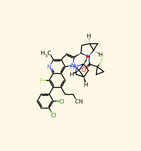 Cc1nc2c(F)c(-c3cccc(Cl)c3Cl)c(CCC#N)cc2c2c1cc([C@H]1C[C@H]3C[C@H]3N1C(=O)C1(F)CC1)n2[C@H]1[C@H]2CN[C@@H]1C2